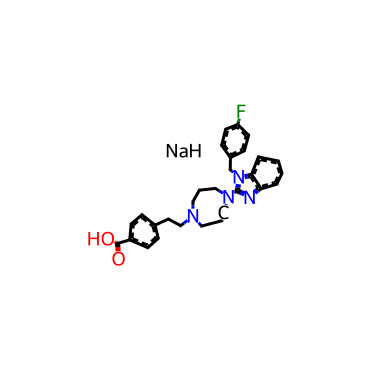 O=C(O)c1ccc(CCN2CCCN(c3nc4ccccc4n3Cc3ccc(F)cc3)CCC2)cc1.[NaH]